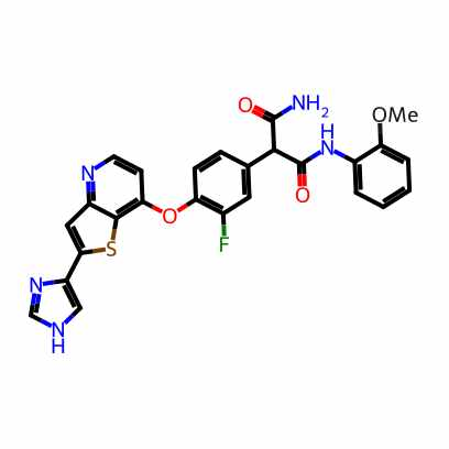 COc1ccccc1NC(=O)C(C(N)=O)c1ccc(Oc2ccnc3cc(-c4c[nH]cn4)sc23)c(F)c1